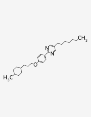 CCCCCCCc1cnc(-c2ccc(OCCCC3CCC(C)CC3)cc2)nc1